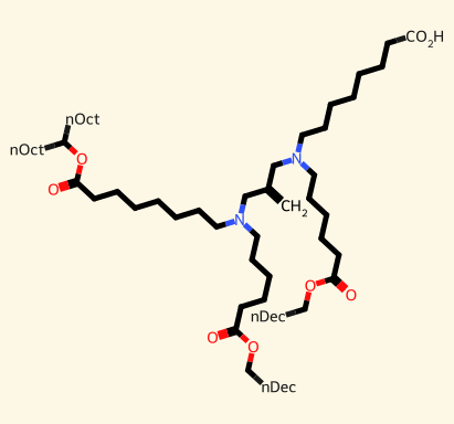 C=C(CN(CCCCCCCC(=O)O)CCCCCC(=O)OCCCCCCCCCCC)CN(CCCCCCCC(=O)OC(CCCCCCCC)CCCCCCCC)CCCCCC(=O)OCCCCCCCCCCC